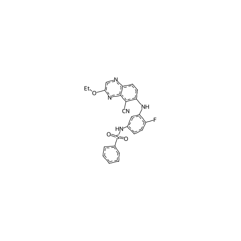 CCOc1cnc2ccc(Nc3cc(NS(=O)(=O)c4ccccc4)ccc3F)c(C#N)c2n1